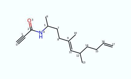 C#CC(=O)NC(C)CC/C(C)=C/C(C)CCC=C